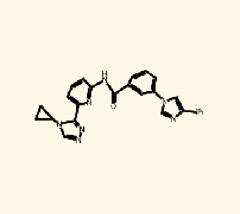 CC(C)c1cn(-c2cccc(C(=O)Nc3cccc(-c4nncn4C4CC4)n3)c2)cn1